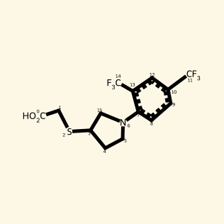 O=C(O)CSC1CCN(c2ccc(C(F)(F)F)cc2C(F)(F)F)C1